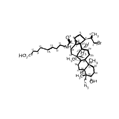 C=C(CBr)[C@@H]1CC[C@]2(C(=O)NCCCCCCCC(=O)O)CC[C@]3(C)[C@H](CCC4[C@@]5(C)CC[C@H](O)C(C)(C)[C@@H]5CC[C@]43C)[C@@H]12